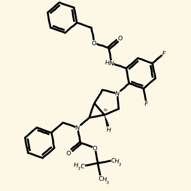 CC(C)(C)OC(=O)N(Cc1ccccc1)C1C2CN(c3c(F)cc(F)cc3NC(=O)OCc3ccccc3)C[C@@H]21